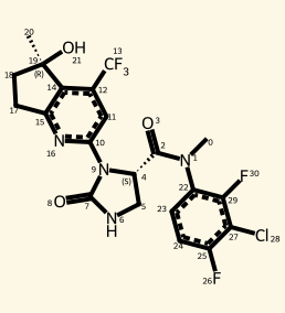 CN(C(=O)[C@@H]1CNC(=O)N1c1cc(C(F)(F)F)c2c(n1)CC[C@@]2(C)O)c1ccc(F)c(Cl)c1F